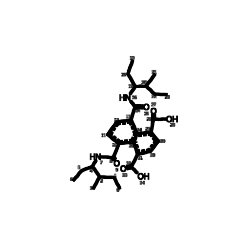 CCC(C)C(CC)NC(=O)c1ccc(C(=O)NC(CC)C(C)CC)c2c(C(=O)O)ccc(C(=O)O)c12